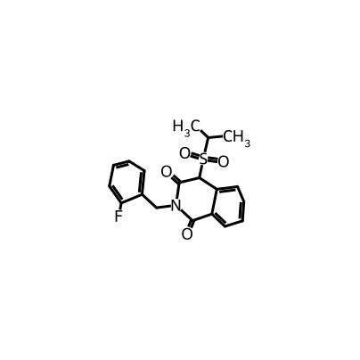 CC(C)S(=O)(=O)C1C(=O)N(Cc2ccccc2F)C(=O)c2ccccc21